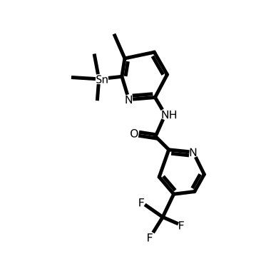 Cc1ccc(NC(=O)c2cc(C(F)(F)F)ccn2)n[c]1[Sn]([CH3])([CH3])[CH3]